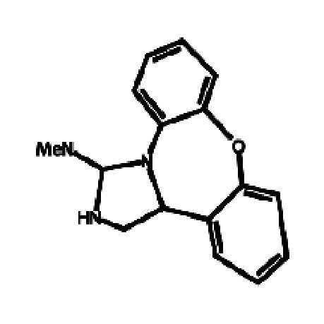 CNC1NCC2c3ccccc3Oc3ccccc3N12